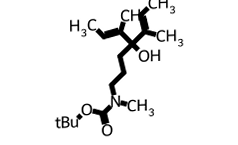 CC=C(C)C(O)(CCCN(C)C(=O)OC(C)(C)C)C(C)=CC